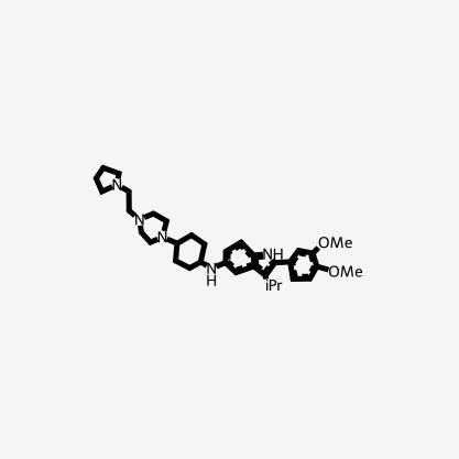 COc1ccc(-c2[nH]c3ccc(NC4CCC(N5CCN(CCN6CCCC6)CC5)CC4)cc3c2C(C)C)cc1OC